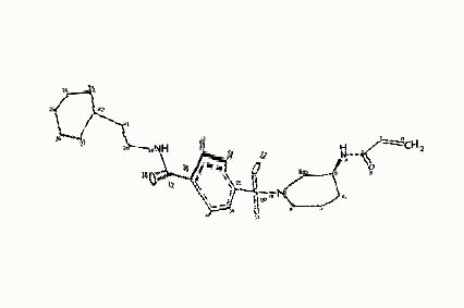 C=CC(=O)N[C@H]1CCCN(S(=O)(=O)c2ccc(C(=O)NCCC3CCCCC3)cc2)C1